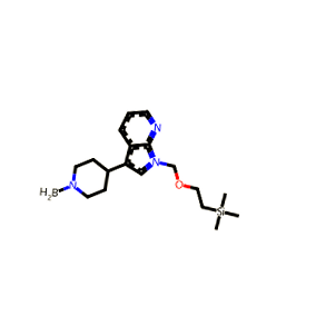 BN1CCC(c2cn(COCC[Si](C)(C)C)c3ncccc23)CC1